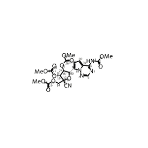 COC(=O)Nc1ncnn2c([C@@H]3O[C@](C#N)(COC(=O)OC)[C@@H](OC(=O)OC)[C@H]3OC(=O)OC)ccc12